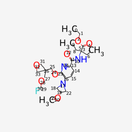 CCOC(=O)C(CC)(CC)NC(=O)c1ccc(N2CC(OC)C2)c(OCC2(COCF)COC2)n1